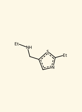 CCNCc1cnc(CC)s1